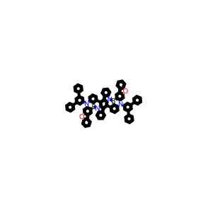 c1ccc(-c2cc(-c3ccccc3)cc(N3c4cc5oc6ccccc6c5cc4B4c5c(cccc53)-c3c5c6ccccc6n6c5c(c5c7ccccc7n4c35)-c3cccc4c3B6c3cc5c(cc3N4c3cc(-c4ccccc4)cc(-c4ccccc4)c3)oc3ccccc35)c2)cc1